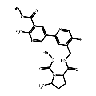 CCCOC(=O)c1cc(-c2cc(CNC(=O)C3CCC(C)N3C(=O)OC(C)(C)C)c(F)cn2)cnc1C(F)(F)F